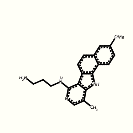 COc1ccc2c(ccc3c2[nH]c2c(C)cnc(NCCCN)c23)c1